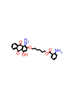 Nc1ccccc1C(=O)OCCCCCCOc1cc(O)c2c(c1N)C(=O)c1ccccc1C2=O